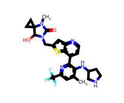 Cc1cc(C(F)(F)F)nc(-c2ccnc3cc(CN4C(=O)N(C)C5(CC5)C4O)sc23)c1NC1CCNC1